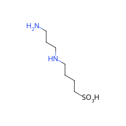 NCCCNCCCCS(=O)(=O)O